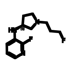 FCCCN1CC[C@H](Nc2cccnc2F)C1